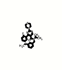 COc1cccc(CN(C(=O)c2cnc(N3CCSCC3)nc2-c2ccccc2F)C(C)C)c1